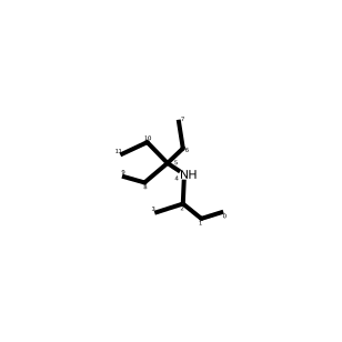 CCC(C)NC(CC)(CC)CC